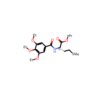 CCCOC(=O)[C@H](CCSC)NC(=O)c1cc(OCC)c(OCC)c(OCC)c1